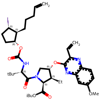 C=CCCC[C@@H]1[C@@H](I)CC[C@H]1OC(=O)N[C@H](C(=O)N1C[C@H](Oc2nc3cc(OC)ccc3nc2C=C)[C@@H](CC)[C@H]1C(=O)OCC(C)C)C(C)(C)C